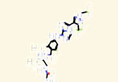 Cc1cc(Nc2nccn3c(-c4cn(CC(F)F)nc4C(F)(F)F)cnc23)cc(F)c1C(=O)N[C@H](C)CNC(=O)CN